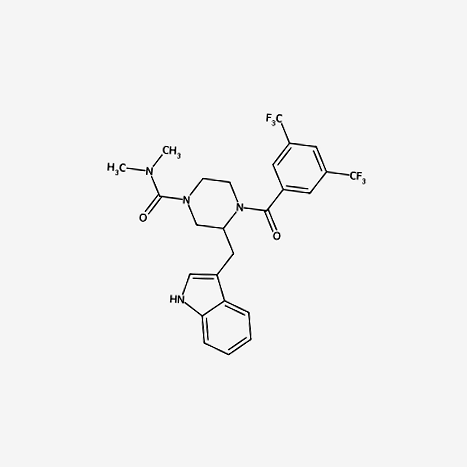 CN(C)C(=O)N1CCN(C(=O)c2cc(C(F)(F)F)cc(C(F)(F)F)c2)C(Cc2c[nH]c3ccccc23)C1